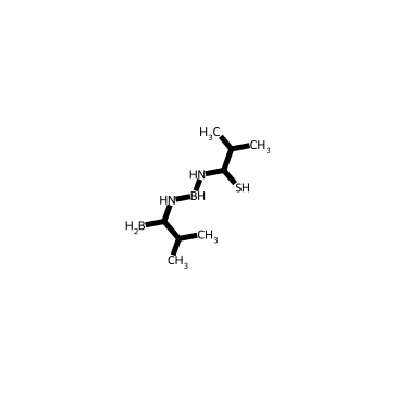 BC(NBNC(S)C(C)C)C(C)C